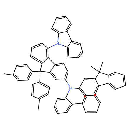 Cc1ccc(C2(c3ccc(C)cc3)c3cc(N(c4ccc5c(c4)C(C)(C)c4ccccc4-5)c4ccccc4-c4ccccc4)ccc3-c3c(-n4c5ccccc5c5ccccc54)cccc32)cc1